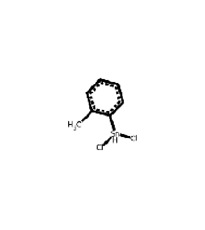 Cc1cccc[c]1[SnH]([Cl])[Cl]